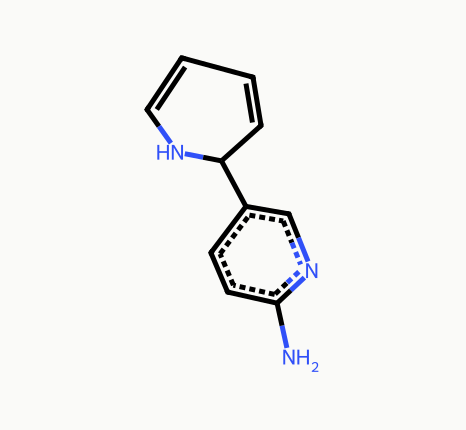 Nc1ccc(C2C=CC=CN2)cn1